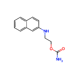 NC(=O)OCCNc1ccc2ccccc2c1